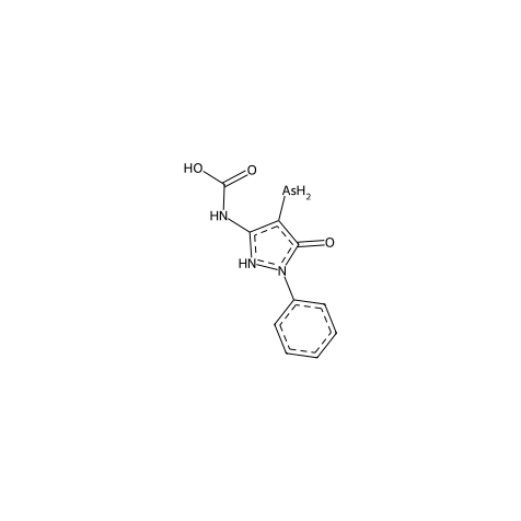 O=C(O)Nc1[nH]n(-c2ccccc2)c(=O)c1[AsH2]